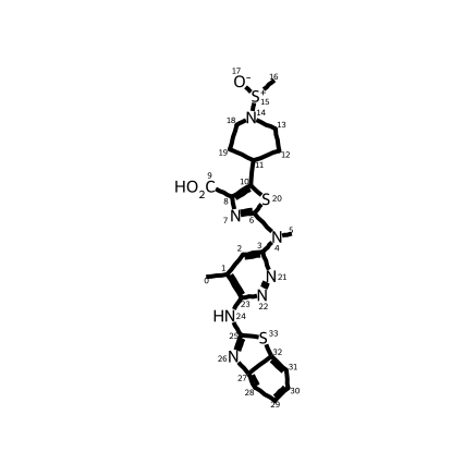 Cc1cc(N(C)c2nc(C(=O)O)c(C3CCN([S+](C)[O-])CC3)s2)nnc1Nc1nc2ccccc2s1